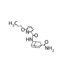 CCCOc1cccc(C(=O)NC2C3CC4CC2CC(C(N)=O)(C4)C3)n1